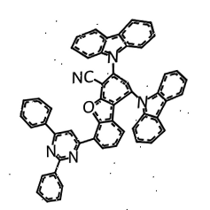 N#Cc1c(-n2c3ccccc3c3ccccc32)cc(-n2c3ccccc3c3ccccc32)c2c1oc1c(-c3cc(-c4ccccc4)nc(-c4ccccc4)n3)cccc12